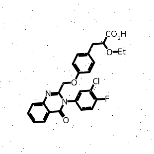 CCOC(Cc1ccc(OCc2nc3ccccc3c(=O)n2-c2ccc(F)c(Cl)c2)cc1)C(=O)O